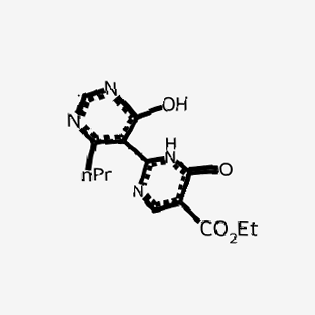 CCCc1n[c]nc(O)c1-c1ncc(C(=O)OCC)c(=O)[nH]1